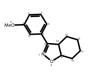 COc1cccc(C2=NOC3CCCCC23)c1